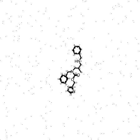 CC(CNCc1ccccc1)CN(Cc1ccccc1)C(=O)OCc1nccs1